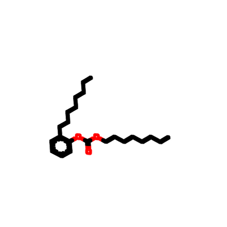 CCCCCCCCOC(=O)Oc1ccccc1CCCCCCCC